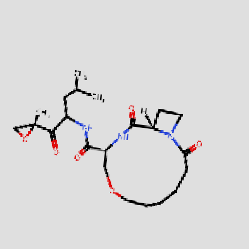 CC(C)CC(NC(=O)[C@@H]1COCCCCCC(=O)N2CC[C@H]2C(=O)N1)C(=O)[C@@]1(C)CO1